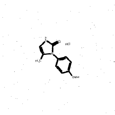 COc1ccc(-n2c(C)c[nH]c2=O)cc1.Cl